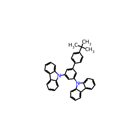 CC(C)(C)c1ccc(-c2cc(-n3c4ccccc4c4ccccc43)cc(-n3c4ccccc4c4ccccc43)c2)cc1